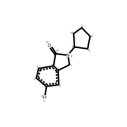 [2H]c1ccc2c(c1)CN(C1CCCC1)C2=O